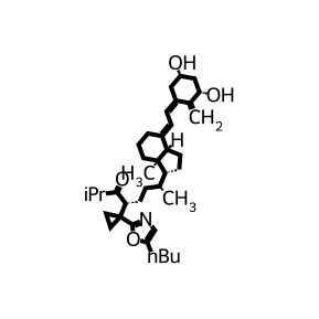 C=C1C(=CC=C2CCC[C@]3(C)[C@@H]([C@H](C)CC[C@@H](C(=O)C(C)C)C4(c5ncc(CCCC)o5)CC4)CC[C@@H]23)C[C@@H](O)C[C@@H]1O